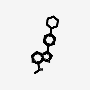 CNc1nccn2c(-c3ccc(C4CCCCC4)cc3)cnc12